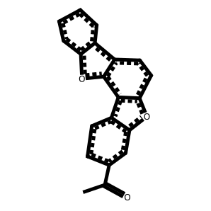 CC(=O)c1ccc2c(c1)oc1ccc3c4ccccc4oc3c12